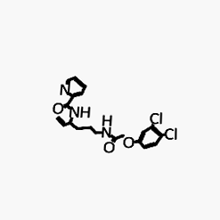 C=CC(CCCNC(=O)COc1ccc(Cl)c(Cl)c1)NC(=O)c1ccccn1